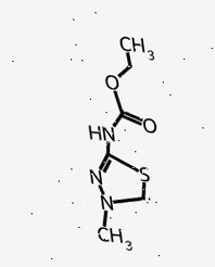 CCOC(=O)NC1=NN(C)[CH]S1